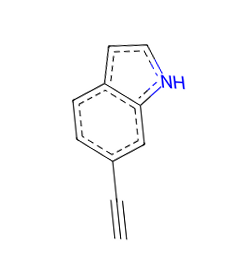 C#Cc1ccc2cc[nH]c2c1